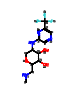 CNCC1OCC(Nc2cncc(C(F)(F)F)n2)C(O)C1O